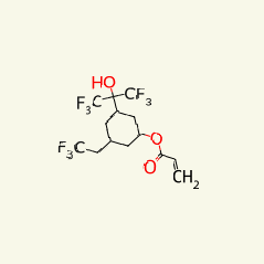 C=CC(=O)OC1CC(CC(F)(F)F)CC(C(O)(C(F)(F)F)C(F)(F)F)C1